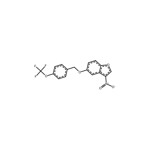 O=[N+]([O-])c1coc2ccc(OCc3ccc(OC(F)(F)F)cc3)cc12